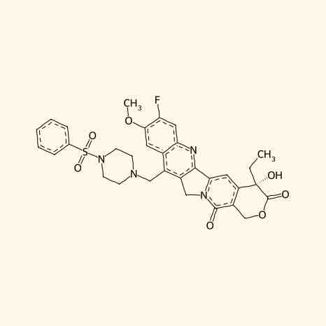 CC[C@@]1(O)C(=O)OCc2c1cc1n(c2=O)Cc2c-1nc1cc(F)c(OC)cc1c2CN1CCN(S(=O)(=O)c2ccccc2)CC1